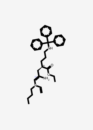 C=CN(/C=C(\N)C[C@@H](CCCNC(c1ccccc1)(c1ccccc1)c1ccccc1)C(=O)OCC)CCCC